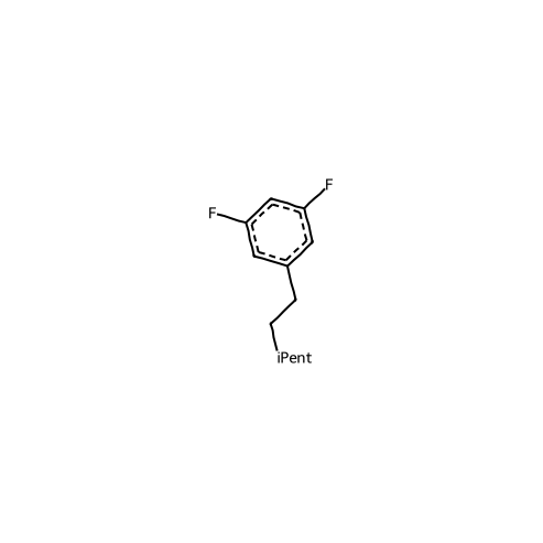 CCCC(C)CCc1cc(F)cc(F)c1